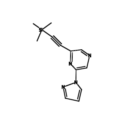 C[Si](C)(C)C#Cc1cncc(-n2cccn2)n1